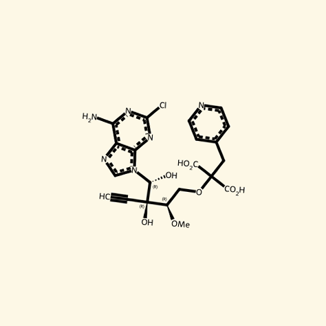 C#C[C@@](O)([C@@H](COC(Cc1ccncc1)(C(=O)O)C(=O)O)OC)[C@@H](O)n1cnc2c(N)nc(Cl)nc21